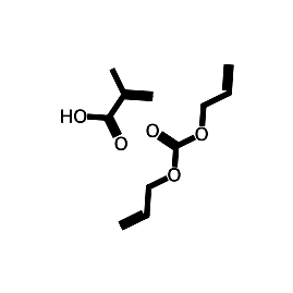 C=C(C)C(=O)O.C=CCOC(=O)OCC=C